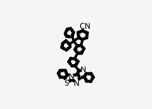 N#Cc1ccc2c(c1)C(c1ccccc1)(c1ccccc1)c1cc(-c3cccc(-c4nc5ccccc5c5nc6sc7ccccc7n6c45)c3)ccc1-2